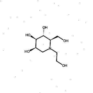 OCCN1C[C@@H](O)[C@@H](O)[C@H](O)[C@H]1CO